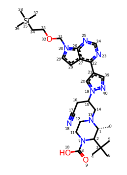 C[C@@H]1C(C(C)(C)C)N(C(=O)O)CCN1CC(CC#N)n1cc(-c2ncnc3c2ccn3COCC[Si](C)(C)C)cn1